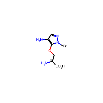 CC(C)n1ncc(N)c1OC[C@H](N)C(=O)O